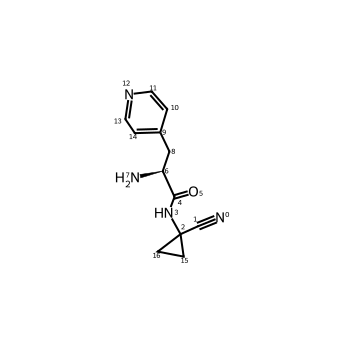 N#CC1(NC(=O)[C@@H](N)Cc2ccncc2)CC1